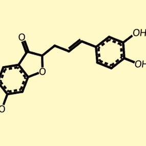 O=C1c2ccc(O)cc2OC1C/C=C/c1ccc(O)c(O)c1